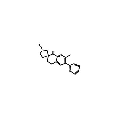 [2H]N1CC[C@@]2(CCc3cc(-c4ncccn4)c(C)nc3N2)C1